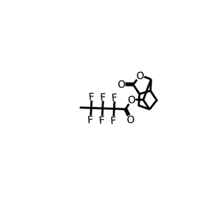 CC(F)(F)C(F)(F)C(F)(F)C(=O)OC1C2CC3C(=O)OC1C3C2